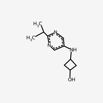 CC(C)c1ncc(NC2CC(O)C2)cn1